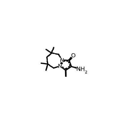 Cc1c(N)c(=O)n2n1CC(C)(C)CC(C)(C)C2